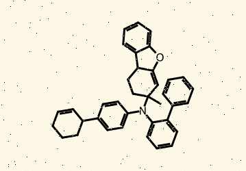 CC1(N(c2ccc(C3C=CCCC3)cc2)c2ccccc2-c2ccccc2)C=C2Oc3ccccc3C2CC1